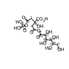 O=C(CC(O)(CC(=O)OP(=O)(O)O)C(=O)O)OC(=O)[C@H](O)[C@@H](O)[C@H](O)[C@H](O)CO